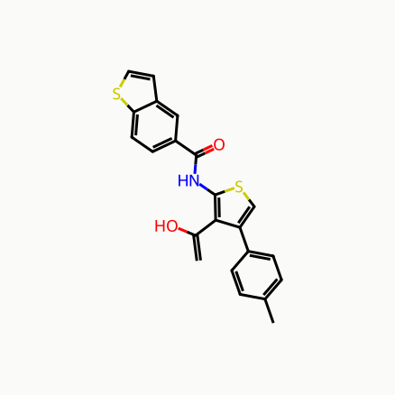 C=C(O)c1c(-c2ccc(C)cc2)csc1NC(=O)c1ccc2sccc2c1